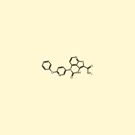 NC(=O)c1sc2nccc3c2c1NC(=O)N3c1ccc(Oc2ccccc2)nc1